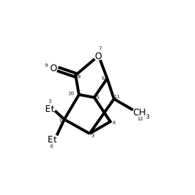 CCC1(CC)C2CC3C(OC(=O)C31)C2C